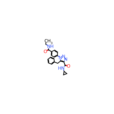 CCNC(=O)c1ccc(-n2nnc(C(=O)NC3CC3)c2Cc2ccccc2)cc1